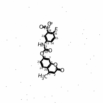 Cc1cc(=O)oc2cc(OC(=O)Nc3ccc(F)c([N+](=O)[O-])c3)ccc12